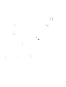 Cn1cc(-c2cn3nccc3c(O[C@@H]3CCCCN(C(=O)OC(C)(C)C)C3)n2)cn1